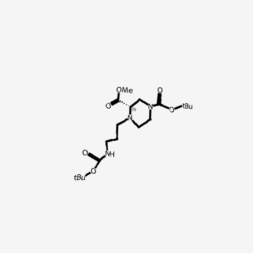 COC(=O)[C@@H]1CN(C(=O)OC(C)(C)C)CCN1CCCNC(=O)OC(C)(C)C